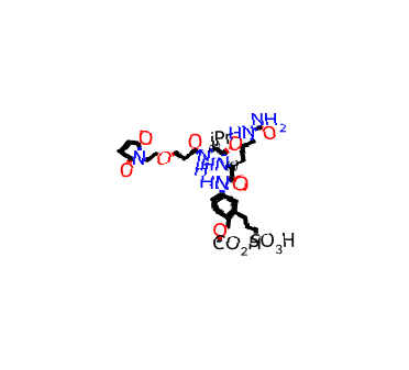 CC(C)[C@H](NC(=O)CCOCCN1C(=O)C=CC1=O)C(=O)N[C@@H](CCCNC(N)=O)C(=O)Nc1ccc(COC(=O)O)c(CCCS(=O)(=O)O)c1